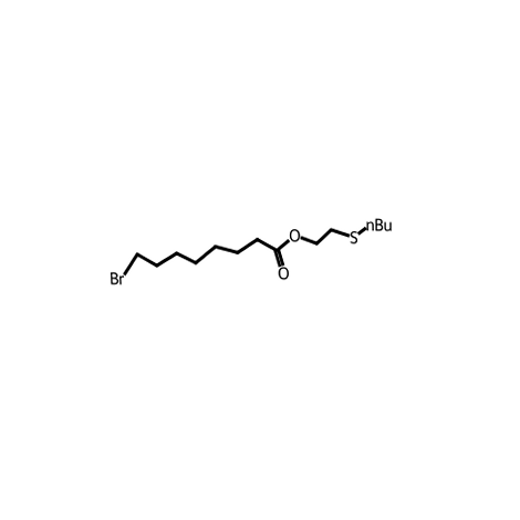 CCCCSCCOC(=O)CCCCCCCBr